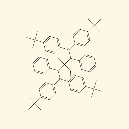 CCC(C(C)C)(C(c1ccccc1)P(c1ccc(C(C)(C)C)cc1)c1ccc(C(C)(C)C)cc1)C(c1ccccc1)P(c1ccc(C(C)(C)C)cc1)c1ccc(C(C)(C)C)cc1